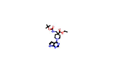 CCOC(=O)C1(CNC(=O)OC(C)(C)C)CCN(c2ncnc3[nH]ccc23)CC1